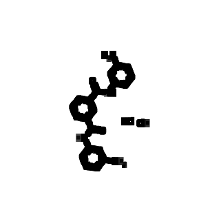 Cl.Cl.Nc1cccc(NC(=O)c2cccc(C(=O)Nc3cccc(N)c3)c2)c1